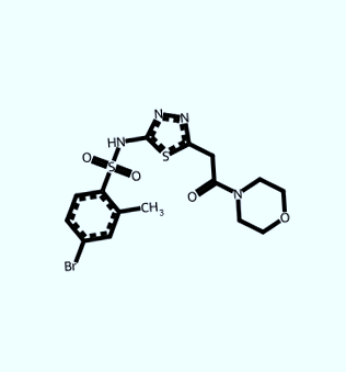 Cc1cc(Br)ccc1S(=O)(=O)Nc1nnc(CC(=O)N2CCOCC2)s1